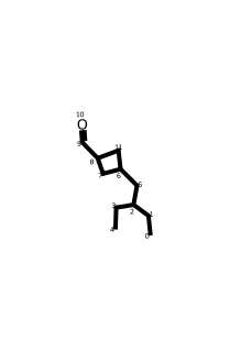 CCC(CC)CC1CC(C=O)C1